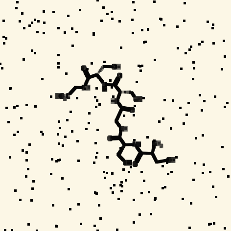 N[C@@H](CO)C(=O)N[C@@H](CO)C(=O)NCC(=O)N[C@@H](CO)C(=O)N[C@@H](CO)C(=O)NCC(=O)O